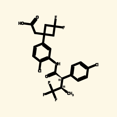 C[C@H]([C@H](C(=O)Nc1cc(C2(CC(=O)O)CC(F)(F)C2)ccc1Cl)c1ccc(Cl)cc1)C(F)(F)F